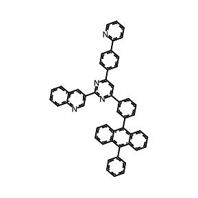 c1ccc(-c2c3ccccc3c(-c3cccc(-c4cc(-c5ccc(-c6ccccn6)cc5)nc(-c5cnc6ccccc6c5)n4)c3)c3ccccc23)cc1